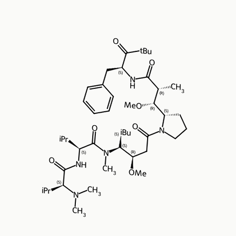 CC[C@H](C)[C@@H]([C@@H](CC(=O)N1CCC[C@H]1[C@H](OC)[C@@H](C)C(=O)N[C@@H](Cc1ccccc1)C(=O)C(C)(C)C)OC)N(C)C(=O)[C@@H](NC(=O)[C@H](C(C)C)N(C)C)C(C)C